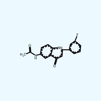 CC(=O)Nc1ccc2[nH]c(-c3cccc(F)c3)cc(=O)c2c1